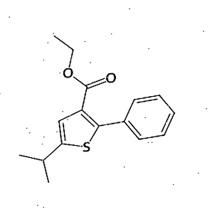 CCOC(=O)c1cc(C(C)C)sc1-c1ccccc1